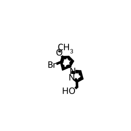 COc1ccc(-n2ccc(CO)n2)cc1Br